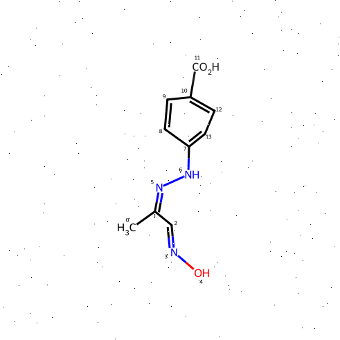 CC(C=NO)=NNc1ccc(C(=O)O)cc1